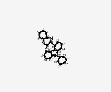 Clc1nc2ccccc2nc1-c1cccc2c1c1ccccc1n2-c1ccccc1